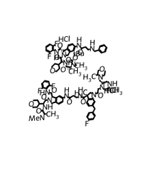 CNC(C)C(=O)NC(C(=O)N1Cc2ccc(NC(=O)CCNC(=O)C3(C)CN(C(=O)CN4C[C@@H](C)NC[C@@H]4CN4CCOCC4C)c4cc(Cc5ccc(F)cc5)ccc43)cc2C1C(=O)Nc1c(F)cccc1F)C1CCOCC1.C[C@@H](C(=O)N[C@H](C(=O)N1Cc2cc(NC(=O)CCNCc3ccccc3)ccc2[C@H]1C(=O)Nc1c(F)cccc1F)C1CCOCC1)N(C)C(=O)OC(C)(C)C.Cl.Cl.Cl